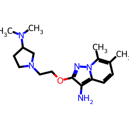 Cc1ccc2c(N)c(OCCN3CCC(N(C)C)C3)nn2c1C